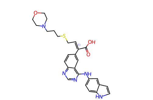 O=C(O)/C(=C/CSCCCN1CCOCC1)c1ccc2ncnc(Nc3ccc4[nH]ccc4c3)c2c1